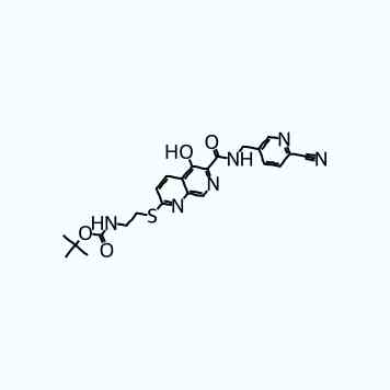 CC(C)(C)OC(=O)NCCSc1ccc2c(O)c(C(=O)NCc3ccc(C#N)nc3)ncc2n1